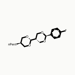 CCCCC[C@H]1CO[C@H]([C@H]2CO[C@H](c3ccc(F)cc3)OC2)OC1